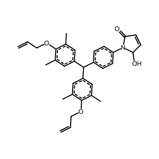 C=CCOc1c(C)cc(C(c2ccc(N3C(=O)C=CC3O)cc2)c2cc(C)c(OCC=C)c(C)c2)cc1C